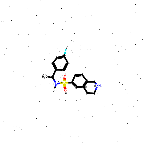 CCN(C(C)c1ccc(F)cc1)S(=O)(=O)c1ccc2c(c1)CCNC2